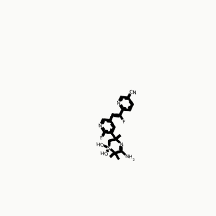 CC1(c2cc(C=C(F)c3ccc(C#N)cn3)cnc2F)CS(O)(O)C(C)(C)C(N)=N1